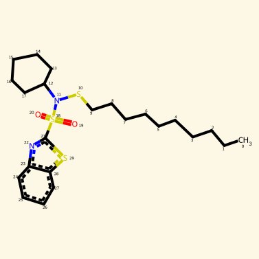 CCCCCCCCCCSN(C1CCCCC1)S(=O)(=O)c1nc2ccccc2s1